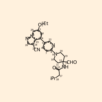 CCOc1cc(-c2ccc(N3CCC(C=O)(NC(=O)CC(C)C)CC3)nc2)c2c(C#N)cnn2c1